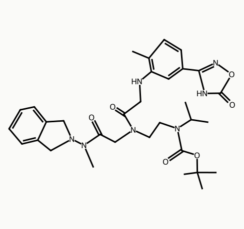 Cc1ccc(-c2noc(=O)[nH]2)cc1NCC(=O)N(CCN(C(=O)OC(C)(C)C)C(C)C)CC(=O)N(C)N1Cc2ccccc2C1